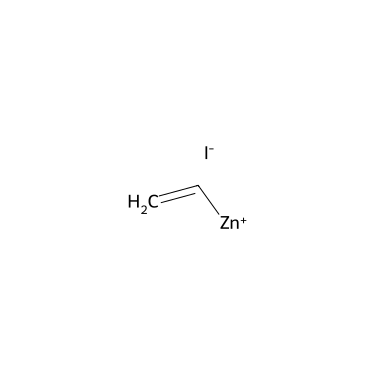 C=[CH][Zn+].[I-]